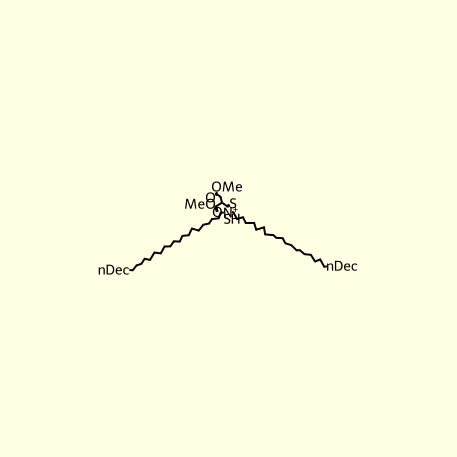 CCCCCCCCCCCCCCCCCCCCCCCCCCCCCC[N+](S)(CCCCCCCCCCCCCCCCCCCCCCCCCCCCCC)C(=S)C(CC(=O)OC)C(=O)OC